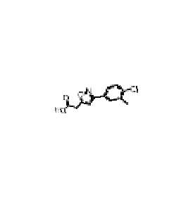 Cc1cc(-c2cc(CC(=O)O)on2)ccc1Cl